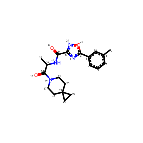 Cc1cccc(-c2nc(C(=O)NC(C)C(=O)N3CCC4(CC3)CC4)no2)c1